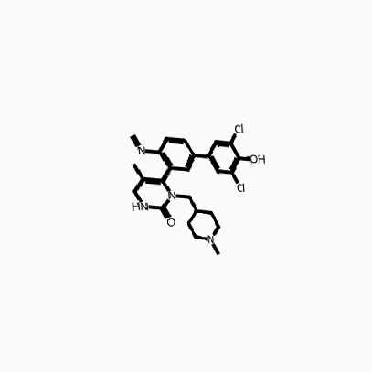 C=Nc1ccc(-c2cc(Cl)c(O)c(Cl)c2)cc1C1=C(C)CNC(=O)N1CC1CCN(C)CC1